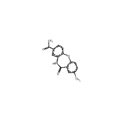 CC(=O)c1ccc2c(c1)NC(=O)c1cc(C)ccc1O2